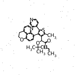 CCOC(=O)C(OC(C)(C)C)c1c(C)sc(-c2ccncc2)c1-c1ccc2c3c(ccnc13)CCO2